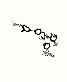 COc1ccc([C@H]2CC[C@H](CN(c3cc(Br)ccn3)C(=O)[C@H]3CC[C@H](O[Si](C)(C)C(C)(C)C)CC3)CC2)cc1C